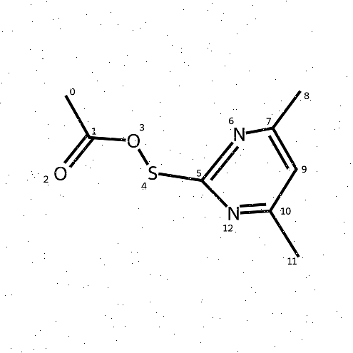 CC(=O)OSc1nc(C)cc(C)n1